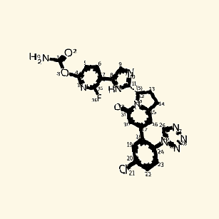 NC(=O)Oc1ccc(-c2cnc([C@@H]3CCc4cc(-c5cc(Cl)ccc5-n5cnnn5)cc(=O)n43)[nH]2)c(F)n1